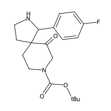 CC(C)(C)OC(=O)N1CCC2(CCNC2c2ccc(F)cc2)C(=O)C1